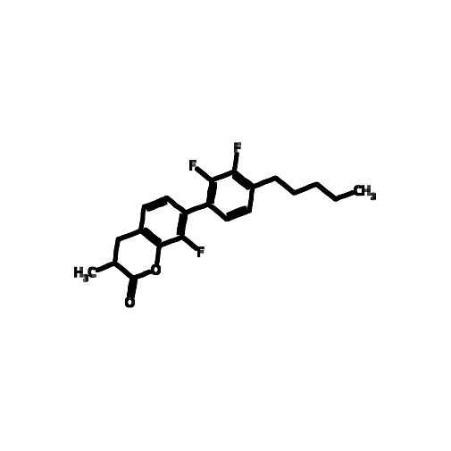 CCCCCc1ccc(-c2ccc3c(c2F)OC(=O)C(C)C3)c(F)c1F